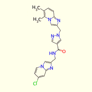 Cc1ccc2nc(Cn3cc(C(=O)NCc4cn5ccc(Cl)cc5n4)cn3)cn2c1C